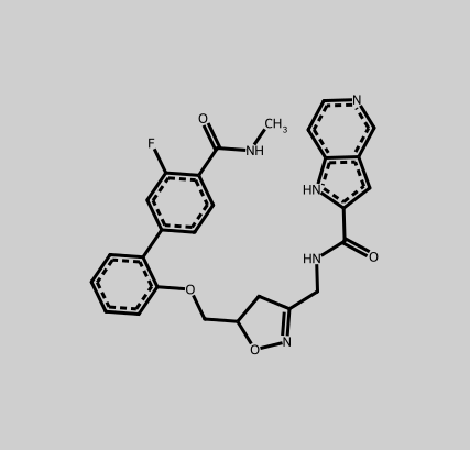 CNC(=O)c1ccc(-c2ccccc2OCC2CC(CNC(=O)c3cc4cnccc4[nH]3)=NO2)cc1F